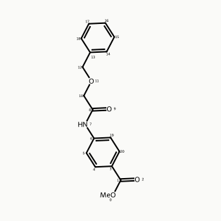 COC(=O)c1ccc(NC(=O)COCc2ccccc2)cc1